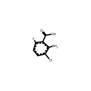 Nc1c(Cl)ccc(F)c1C(=O)O